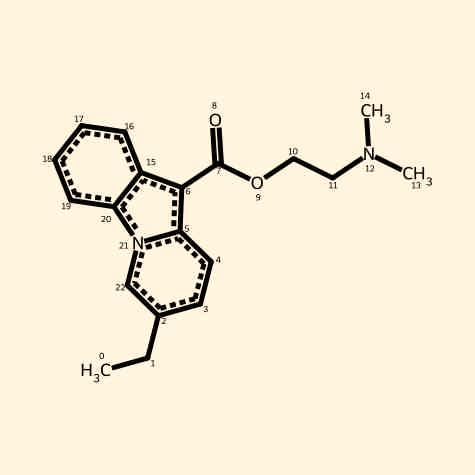 CCc1ccc2c(C(=O)OCCN(C)C)c3ccccc3n2c1